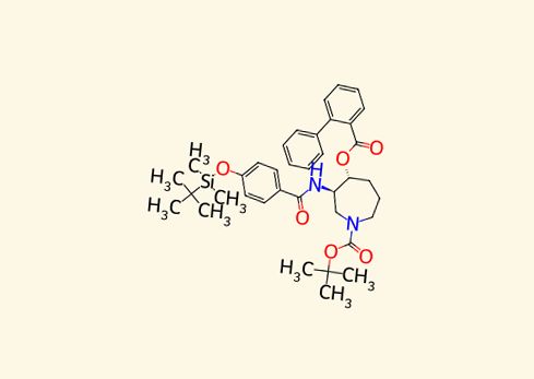 CC(C)(C)OC(=O)N1CCC[C@@H](OC(=O)c2ccccc2-c2ccccc2)[C@H](NC(=O)c2ccc(O[Si](C)(C)C(C)(C)C)cc2)C1